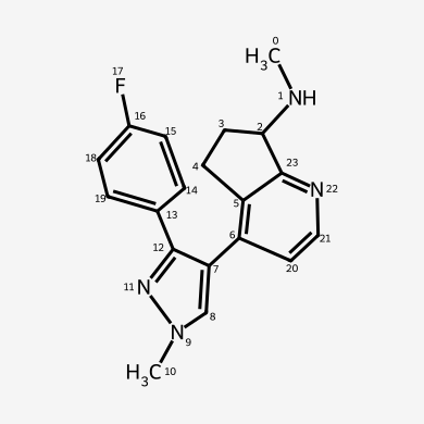 CNC1CCc2c(-c3cn(C)nc3-c3ccc(F)cc3)ccnc21